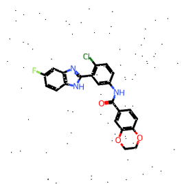 O=C(Nc1ccc(Cl)c(-c2nc3cc(F)ccc3[nH]2)c1)c1ccc2c(c1)OCCO2